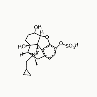 C[N@+]1(CC2CC2)CC[C@]23c4c5ccc(OS(=O)(=O)O)c4O[C@H]2C(O)CC[C@@]3(O)[C@H]1C5